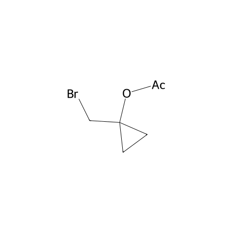 CC(=O)OC1(CBr)CC1